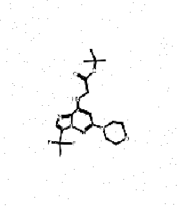 CC(C)(C)OC(=O)CNc1cc(N2CCOCC2)nn2c(C(F)(F)F)cnc12